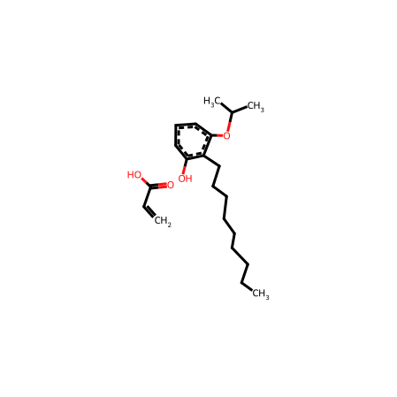 C=CC(=O)O.CCCCCCCCCc1c(O)cccc1OC(C)C